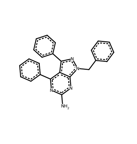 Nc1nc(-c2ccccc2)c2c(-c3ccccc3)nn(Cc3ccccc3)c2n1